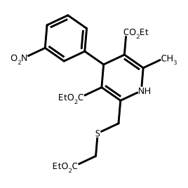 CCOC(=O)CSCC1=C(C(=O)OCC)C(c2cccc([N+](=O)[O-])c2)C(C(=O)OCC)=C(C)N1